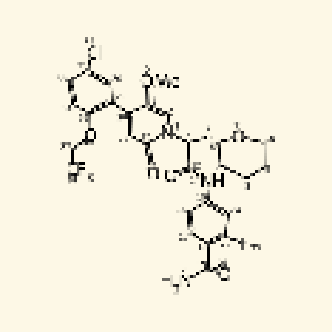 COc1cn(C(C[C@H]2CCCCO2)C(=O)Nc2ccc(C(N)=O)c(F)c2)c(=O)cc1-c1cc(Cl)ccc1OCC(F)(F)F